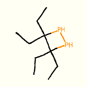 CCC1(CC)PPC1(CC)CC